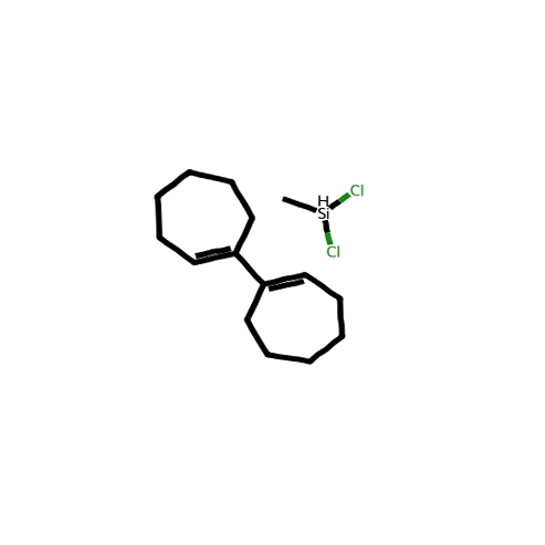 C1=C(C2=CCCCCC2)CCCCC1.C[SiH](Cl)Cl